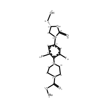 CC(C)(C)OC(=O)N1CCN(c2c(F)cc(N3C[C@H](CO)OC3=O)cc2F)CC1